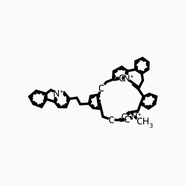 C[n+]1cc2ccc1-c1ccccc1C1=C[n+]3cc(ccc3-c3ccccc3C1)CCc1cc(cc(CCc3ccc4[n+](c3)Cc3ccccc3-4)c1)CC2